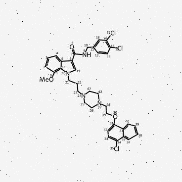 COc1cccc2c(C(=O)NCc3ccc(Cl)c(Cl)c3)cn(CCCN3CCN(CCOc4ccc(Cl)c5ccccc45)CC3)c12